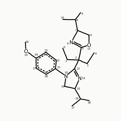 CCC(CC)(C1=NC(C(C)C)CO1)C1=NC(C(C)C)CN1c1ccc(OC)cc1